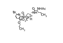 C=CCOCc1ccc(Br)nc1NC(=O)[C@@H]1C[C@@]2(CNC(=O)[C@H](CC=C)NC(C)=O)C[C@H]2N1C(=O)O